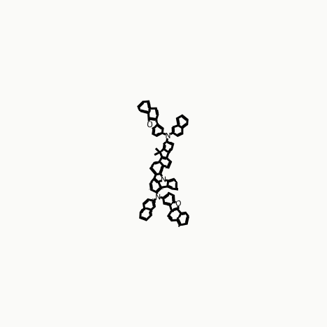 CC1(C)c2cc(N(c3ccc4ccccc4c3)c3ccc4oc5c6ccccc6ccc5c4c3)ccc2-c2ccc3c(ccc4c5ccc(N(c6ccc7ccccc7c6)c6ccc7oc8c9ccccc9ccc8c7c6)c6c7ccccc7n(c34)c56)c21